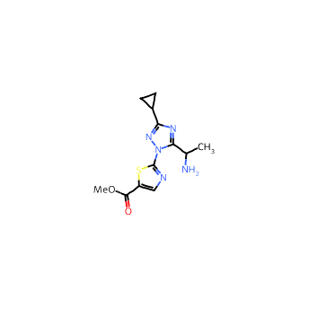 COC(=O)c1cnc(-n2nc(C3CC3)nc2C(C)N)s1